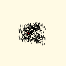 C[Si]1(C)O[Si](C)(C)O[Si](C)(CC[Si](CC[Si]2(C)O[Si](C)(C)O[Si](C)(C)O[Si](C)(C)O2)(CC[Si]2(C)O[Si](C)(C)O[Si](C)(C)O[Si](C)(C)O2)CC[Si]2(C)O[Si](C)(C)O[Si](C)(C)O[Si](C)(C)O2)O[Si](C)(C)O1